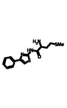 CSCCC(N)C(=O)Nc1nc(-c2ccccc2)cs1